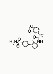 Cc1c(NC(=O)C2(c3ccc4c(c3)OCO4)CC2)cccc1-c1ccc(S(N)(=O)=O)cc1